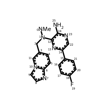 CNN(Cc1ccc2nccn2c1)c1nc(-c2ccc(F)cc2)cnc1N